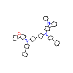 C1=Cc2oc3ccc(N(c4ccc(-c5ccccc5)cc4)c4ccc(-c5ccc(N(c6ccc(-c7ccccc7)cc6)c6ccc7c(c6)c6ccccc6n7-c6ccccc6)cc5)cc4)cc3c2CC1